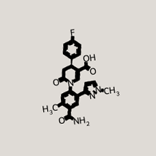 Cc1cc(N2C=C(C(=O)O)[C@H](c3ccc(F)cc3)CC2=O)c(-c2ccn(C)n2)cc1C(N)=O